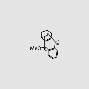 COC(=O)C1C2C=CC(CC2)N1[C@H](C)c1ccccc1